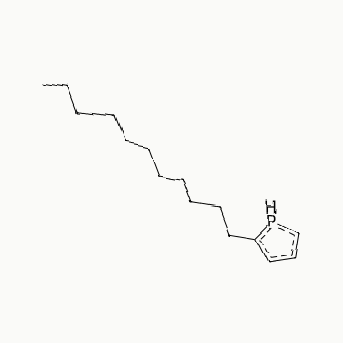 CCCCCCCCCCCc1ccc[pH]1